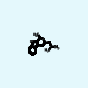 CC1OC(CN(C)C)Cc2c1[nH]c1ccccc21